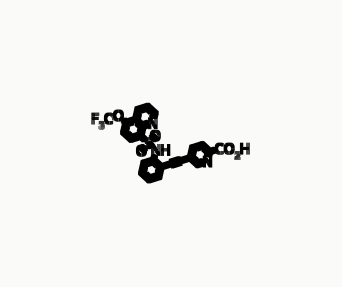 O=C(O)c1ccc(C#Cc2ccccc2NS(=O)(=O)c2ccc(OC(F)(F)F)c3cccnc23)cn1